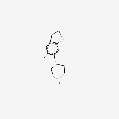 C[C@@H]1CN(c2cc3c(cc2Br)CCN3)C[C@H](C)N1C